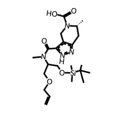 C=CCOCC(CO[Si](C)(C)C(C)(C)C)N(C)C(=O)c1[nH]nc2c1CN(C(=O)O)[C@H](C)C2